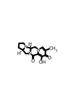 Cc1cn2c(c(O)c1=O)C(=O)N1C[C@H]3CCCN3[C@@H]1C2